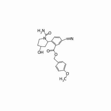 COc1ccc(COC(=O)c2cc(C#N)ccc2C2CC(O)CCN2C(N)=O)cc1